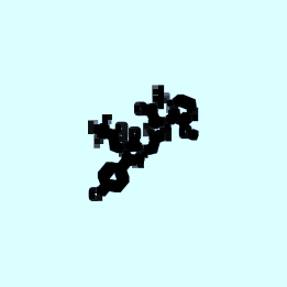 COc1nccnc1-n1nc(Cn2nc(-c3ccc(Cl)cc3)n(C[C@H](O)C(F)(F)F)c2=O)nc1C(N)=O